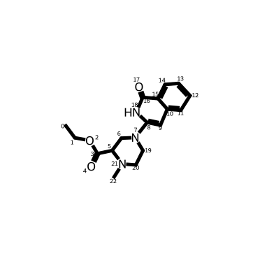 CCOC(=O)C1CN(c2cc3ccccc3c(=O)[nH]2)CCN1C